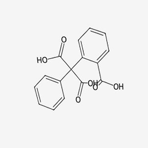 O=C(O)c1ccccc1C(C(=O)O)(C(=O)O)c1ccccc1